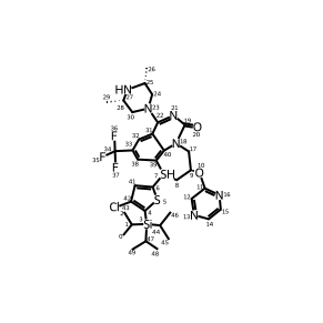 CC(C)[Si](c1sc([SH]2C[C@@H](Oc3cnccn3)Cn3c(=O)nc(N4C[C@@H](C)N[C@@H](C)C4)c4cc(C(F)(F)F)cc2c43)cc1Cl)(C(C)C)C(C)C